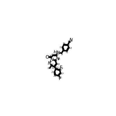 Cc1nn2c(=O)cc(NCc3ccc(C#N)cc3)nc2cc1-c1ccc(F)cc1F